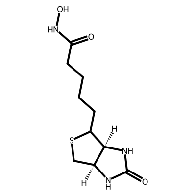 O=C(CCCCC1SC[C@@H]2NC(=O)N[C@H]12)NO